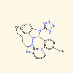 CCCCc1nc2cccnc2n1N1c2ccccc2N(c2nnn[nH]2)C1c1ccc(C)cc1